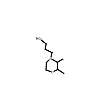 CC1OCCN(CCCO)C1C